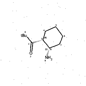 CC(C)(C)C(=O)[C@@H]1CCCC[C@@H]1N